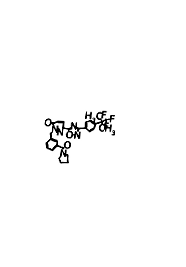 CC(C)(c1ccc(-c2noc(-c3ccc(=O)n(Cc4cccc(C(=O)N5CCCC5)c4)n3)n2)cc1)C(F)(F)F